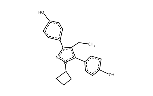 CCc1c(-c2ccc(O)cc2)nn(C2CCC2)c1-c1ccc(O)cc1